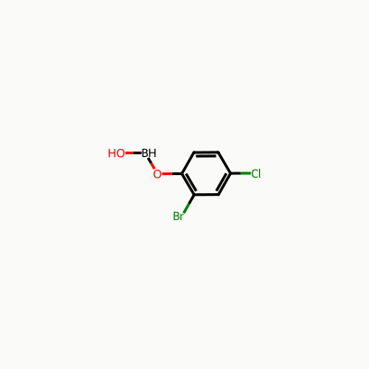 OBOc1ccc(Cl)cc1Br